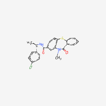 C[C@@H](NC(=O)c1ccc2c(c1)N(C)C(=O)c1ccccc1S2)c1ccc(Cl)cc1